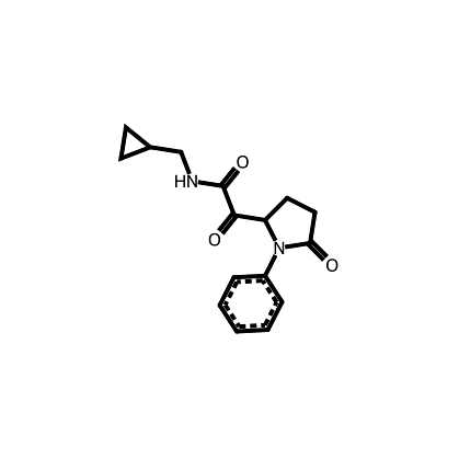 O=C(NCC1CC1)C(=O)C1CCC(=O)N1c1ccccc1